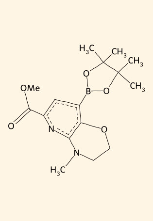 COC(=O)c1cc(B2OC(C)(C)C(C)(C)O2)c2c(n1)N(C)CCO2